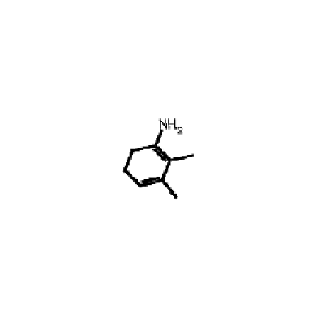 CC1=CCCC(N)=C1C